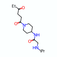 CCC(=O)CCC(=O)N1CCC(NC(=O)CNC(C)C)CC1